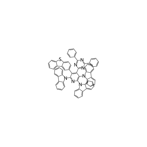 c1ccc(-c2nc(-c3ccccc3)nc(-c3c(-c4ccc5sc6ccccc6c5c4)c(-n4c5ccccc5c5ccccc54)nc(-n4c5ccccc5c5ccccc54)c3-n3c4ccccc4c4ccccc43)n2)cc1